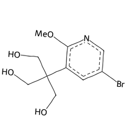 COc1ncc(Br)cc1C(CO)(CO)CO